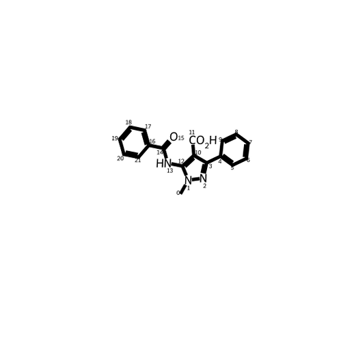 Cn1nc(-c2ccccc2)c(C(=O)O)c1NC(=O)c1ccccc1